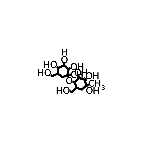 CC1(O)CC(CO)C(OC2(C)CC(CO)C(O)C(O)C2O)C(O)C1O